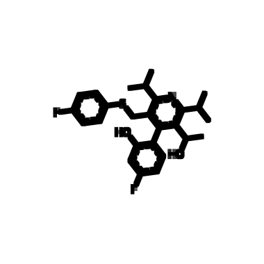 CC(C)c1nc(C(C)C)c(C(C)O)c(-c2ccc(F)cc2O)c1CSc1ccc(F)cc1